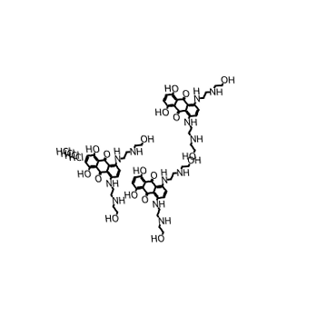 Cl.Cl.Cl.Cl.O=C1c2c(O)ccc(O)c2C(=O)c2c(NCCNCCO)ccc(NCCNCCO)c21.O=C1c2c(O)ccc(O)c2C(=O)c2c(NCCNCCO)ccc(NCCNCCO)c21.O=C1c2c(O)ccc(O)c2C(=O)c2c(NCCNCCO)ccc(NCCNCCO)c21